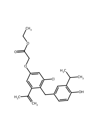 C=C(C)c1cc(OCC(=O)OCC)cc(Cl)c1Cc1ccc(O)c(C(C)C)c1